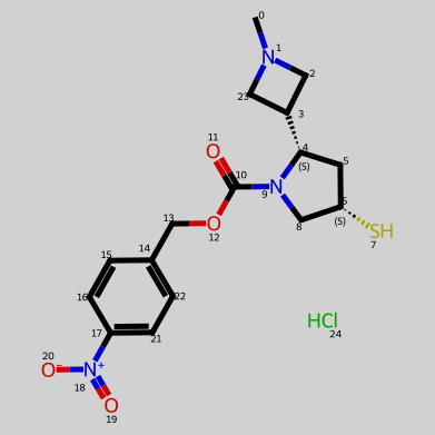 CN1CC([C@@H]2C[C@H](S)CN2C(=O)OCc2ccc([N+](=O)[O-])cc2)C1.Cl